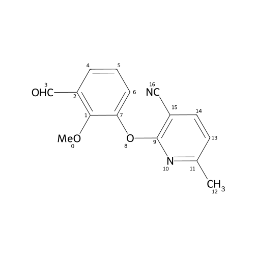 COc1c(C=O)cccc1Oc1nc(C)ccc1C#N